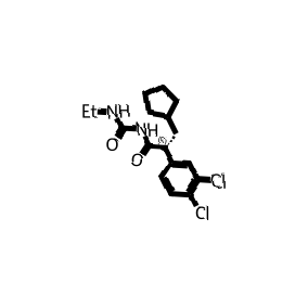 CCNC(=O)NC(=O)[C@H](CC1CCCC1)c1ccc(Cl)c(Cl)c1